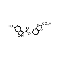 O=C(Oc1ccc2c(c1)SC(C(=O)O)S2)c1noc2cc(O)ccc12